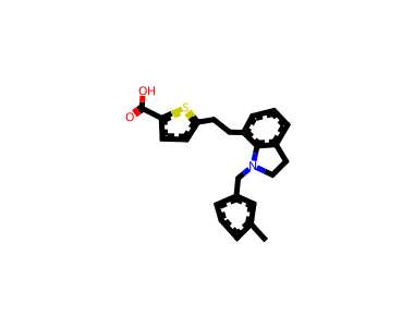 Cc1cccc(CN2CCc3cccc(CCc4ccc(C(=O)O)s4)c32)c1